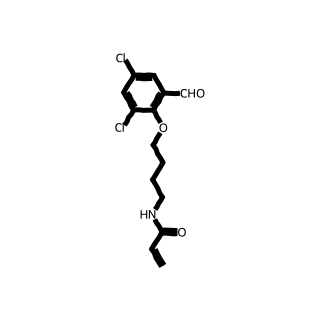 C=CC(=O)NCCCCOc1c(Cl)cc(Cl)cc1C=O